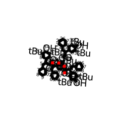 CC(C)(C)c1cc(C(=Cc2ccccc2)C(=O)OCC(COC(=O)C(=Cc2ccccc2)c2cc(C(C)(C)C)c(O)c(C(C)(C)C)c2)(COC(=O)C(=Cc2ccccc2)c2cc(C(C)(C)C)c(O)c(C(C)(C)C)c2)COC(=O)C(=Cc2ccccc2)c2cc(C(C)(C)C)c(O)c(C(C)(C)C)c2)cc(C(C)(C)C)c1O